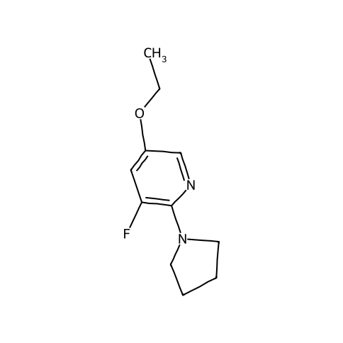 CCOc1cnc(N2CCCC2)c(F)c1